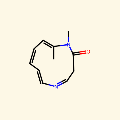 C\C1=C/C=C\C=C\N=C/CC(=O)N1C